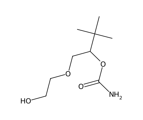 CC(C)(C)C(COCCO)OC(N)=O